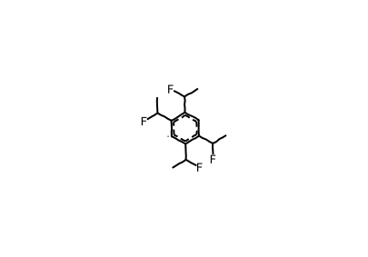 CC(F)c1[c]c(C(C)F)c(C(C)F)cc1C(C)F